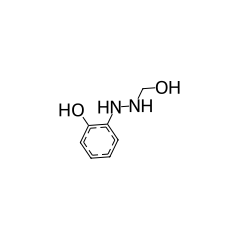 OCNNc1ccccc1O